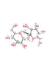 [2H][C@]1(O[C@H]2OC(CO)[C@@H](O)[C@H](O)C2O)OC(CO)[C@@H](O)C(O)C1O